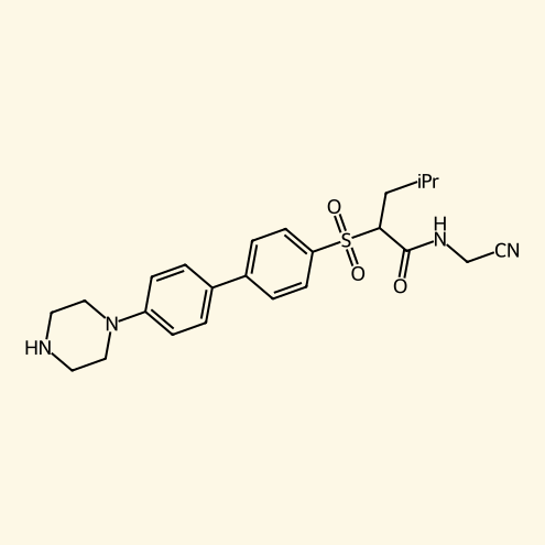 CC(C)CC(C(=O)NCC#N)S(=O)(=O)c1ccc(-c2ccc(N3CCNCC3)cc2)cc1